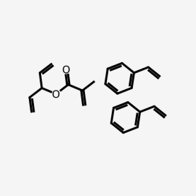 C=CC(C=C)OC(=O)C(=C)C.C=Cc1ccccc1.C=Cc1ccccc1